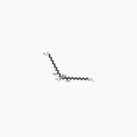 CCCCCCCCCCCCC(O)CC[N+](C)(C)CCC(O)CCCCCCCCCCCC